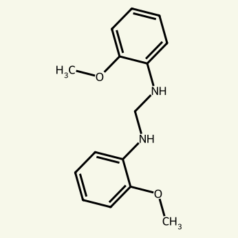 COc1ccccc1NCNc1ccccc1OC